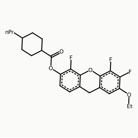 CCCC1CCC(C(=O)Oc2ccc3c(c2F)Oc2c(cc(OCC)c(F)c2F)C3)CC1